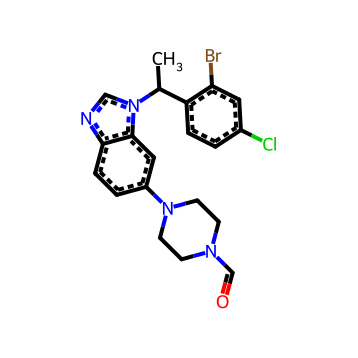 CC(c1ccc(Cl)cc1Br)n1cnc2ccc(N3CCN(C=O)CC3)cc21